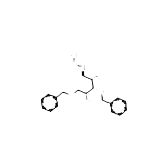 CON=C[C@@H](F)[C@H](OCc1ccccc1)[C@@H](Br)COCc1ccccc1